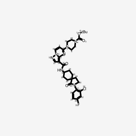 CC(C)(C)OC(=O)N1CCN(c2ccn3ncc(C(=O)NC4CCC5(CC4)CCN(c4ccc(F)cc4Cl)C5=O)c3n2)CC1